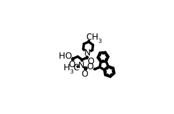 CC1CCN(C(=O)C(CC(=O)O)N(C)C(=O)OCC2c3ccccc3-c3ccccc32)CC1